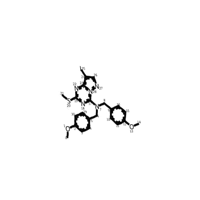 COc1ccc(CN(Cc2ccc(OC)cc2)c2nc(SC)nc3c(I)cnn23)cc1